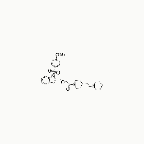 COc1ccc(S(=O)(=O)N2c3ccccc3CC2COCC(=O)N2CCC(CCN3CCCCC3)CC2)cc1